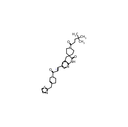 CC(C)(C)CCC(=O)N1CCC2(CC1)Cc1cc(/C=C/C(=O)N3CC=C(Cc4nccs4)CC3)cnc1NC2=O